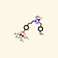 CCCCn1c(CCCc2ccc(B3OC(C)(C)C(C)(C)O3)cc2)nn(Cc2ccc(C(C)(C)C)cc2)c1=O